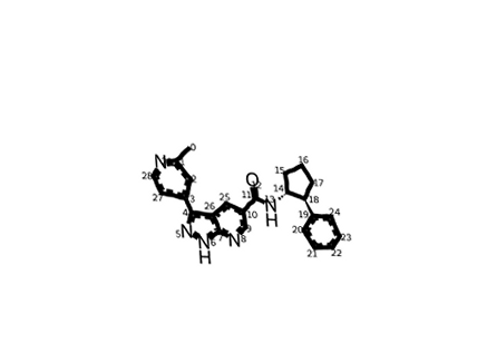 Cc1cc(-c2n[nH]c3ncc(C(=O)N[C@@H]4CCC[C@H]4c4ccccc4)cc23)ccn1